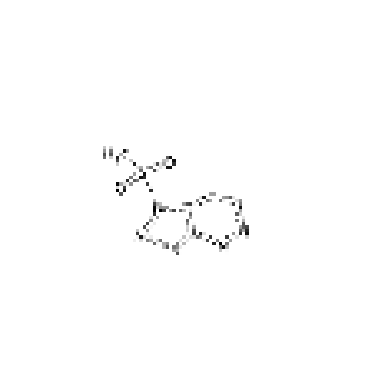 CS(=O)(=O)n1nnc2nnccc21